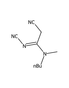 CCCCN(C)C(CC#N)=NC#N